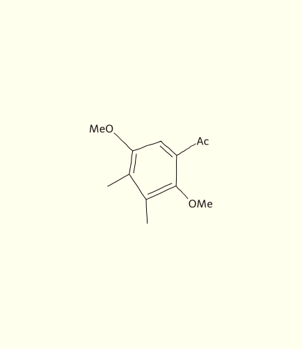 COc1cc(C(C)=O)c(OC)c(C)c1C